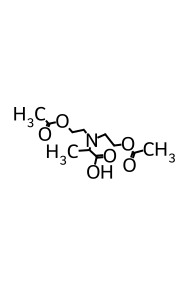 CC(=O)OCCN(CCOC(C)=O)C(C)C(=O)O